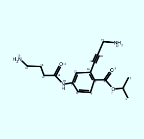 CC(C)OC(=O)c1ccc(NC(=O)CCCN)cc1C#CCN